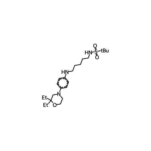 CCC1(CC)CN(c2ccc(NCCCCCNS(=O)(=O)C(C)(C)C)cc2)CCO1